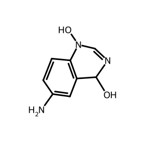 Nc1ccc2c(c1)C(O)N=CN2O